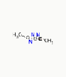 CCCCCc1ccc(CCc2ccc(C34CCC(CCC)(CC3)CC4)c(C#N)c2C#N)c(C#N)c1